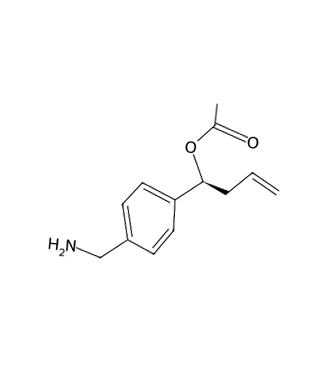 C=CC[C@H](OC(C)=O)c1ccc(CN)cc1